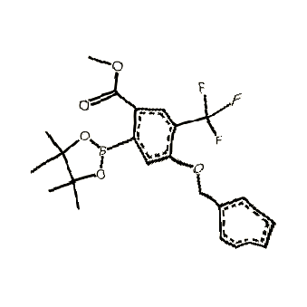 COC(=O)c1cc(C(F)(F)F)c(OCc2ccccc2)cc1B1OC(C)(C)C(C)(C)O1